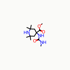 CNC(=O)NC1(C(=O)OC)CC(C)(C)NC(C)(C)C1